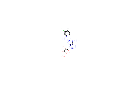 CC(=O)c1ccc(Nc2nc(N)c3ncn([C@@H]4O[C@H](CO)[C@@H](O)[C@H]4O)c3n2)cc1Cl